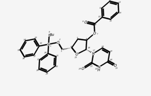 CC(C)(C)[Si](OC[C@@H]1CC(OC(=O)c2ccccc2)[C@H](n2ccc(=O)[nH]c2=O)O1)(c1ccccc1)c1ccccc1